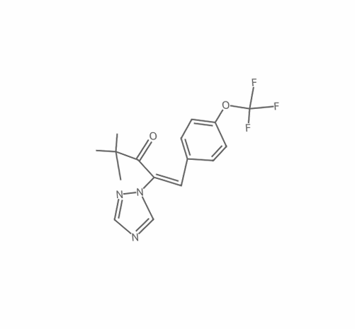 CC(C)(C)C(=O)/C(=C\c1ccc(OC(F)(F)F)cc1)n1cncn1